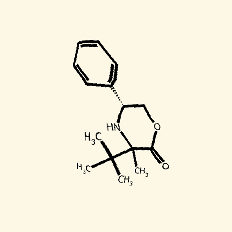 CC(C)(C)C1(C)N[C@H](c2ccccc2)COC1=O